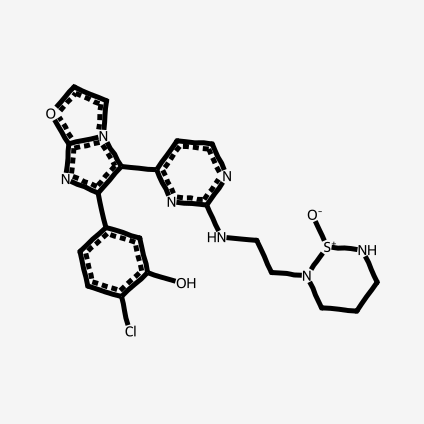 [O-][S+]1NCCCN1CCNc1nccc(-c2c(-c3ccc(Cl)c(O)c3)nc3occn23)n1